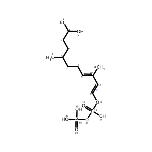 CCC(O)CCC(C)CCC=C(C)/C=C/OP(=O)(O)OP(=O)(O)O